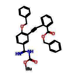 CC(C)(C)OC(=O)NC(=N)c1ccc(OCc2ccccc2)c(C#Cc2ccccc2C(=O)OCc2ccccc2)c1